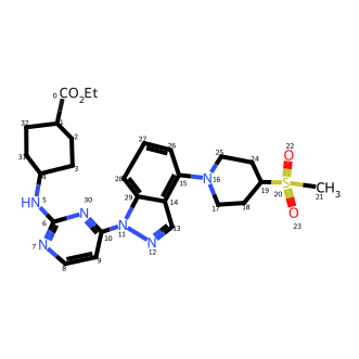 CCOC(=O)C1CCC(Nc2nccc(-n3ncc4c(N5CCC(S(C)(=O)=O)CC5)cccc43)n2)CC1